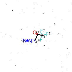 [N-]=[N+]=CC(=O)C(F)(F)F